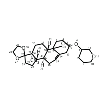 C=CC12CC[C@H](OC3CCCOC3)CC1=CC[C@@H]1[C@@H]2CC[C@@]2(C)[C@H]1CCC21OCCO1